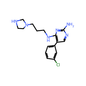 Nc1ncc(-c2cccc(Cl)c2)c(NCCCN2CCNC2)n1